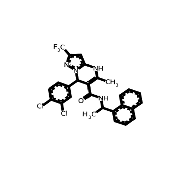 CC1=C(C(=O)NC(C)c2cccc3ccccc23)C(c2ccc(Cl)c(Cl)c2)n2nc(C(F)(F)F)cc2N1